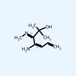 C=C/C=C(N)\C(=N/C)C(C)(C)O